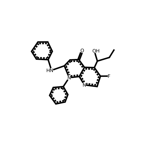 CCC(O)c1c(F)cnc2c1c(=O)cc(Nc1ccccc1)n2-c1ccccc1